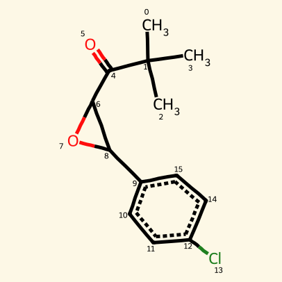 CC(C)(C)C(=O)C1OC1c1ccc(Cl)cc1